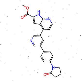 COC(=O)c1cc2c(-c3cncc(-c4ccc(N5CCCC5=O)cc4)c3)ccnc2[nH]1